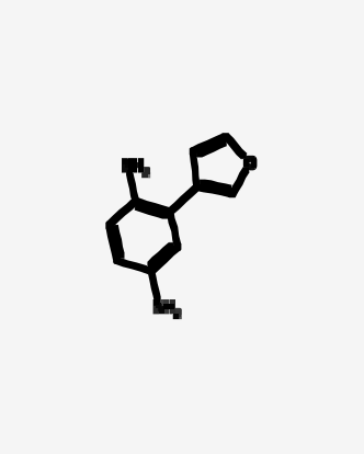 Nc1ccc(N)c(-c2ccoc2)c1